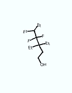 CCC(CC)C(F)(F)C(CC)(CC)CCO